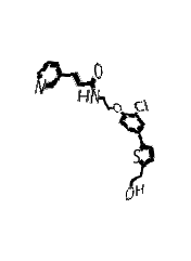 O=C(/C=C/c1cccnc1)NCCOc1ccc(-c2ccc(CCO)s2)cc1Cl